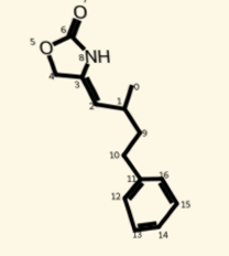 CC(/C=C1/COC(=O)N1)CCc1ccccc1